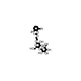 CC(C)c1cccc(C(C)C)c1OC(=O)OCCO[C@@H]1O[C@H](CO)C(OC2O[C@H](CO)[C@@H](O)[C@H](O)[C@H]2O)[C@H](O)[C@H]1O